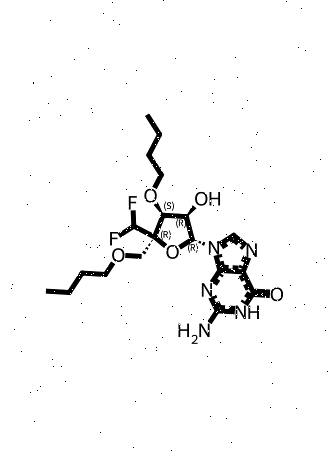 CCCCOC[C@@]1(C(F)F)O[C@@H](n2cnc3c(=O)[nH]c(N)nc32)[C@H](O)[C@@H]1OCCCC